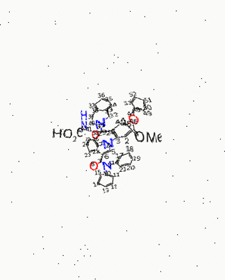 COc1cc(-n2cc(C(=O)N(c3ccccc3)c3ccccc3)c3ccccc32)c(C(=O)N2Cc3ccccc3C[C@H]2CNC(=O)O)cc1OCc1ccccc1